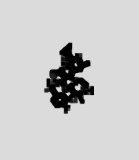 Cc1cc2c(N3CCN[C@@H](C)CC3)c(C(=O)N[C@@H](C)c3ccc(F)c(Cl)c3)c(=O)[nH]c2c(C2CC2)n1